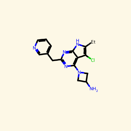 CCc1[nH]c2nc(Cc3cccnc3)nc(N3CC(N)C3)c2c1Cl